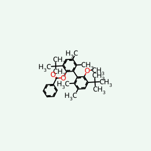 COc1c(C(C)(C)C)cc(C)c(C)c1-c1c(C)c(C)cc(C(C)(C)C)c1OC(=O)c1ccccc1